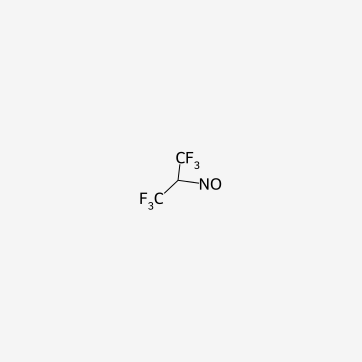 O=NC(C(F)(F)F)C(F)(F)F